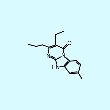 CCCc1nc2[nH]c3cc(C)ccc3n2c(=O)c1CC